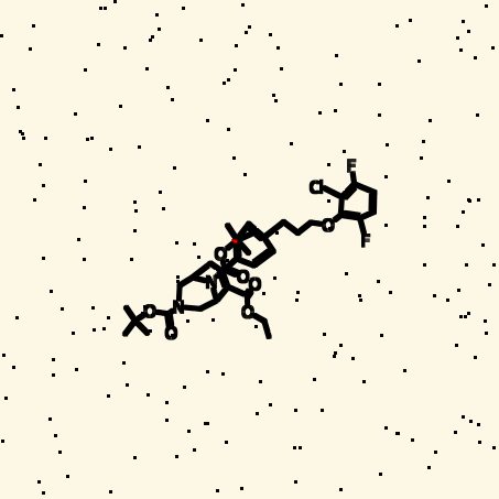 CCOC(=O)C1=C(c2ccc(CCCOc3c(F)ccc(F)c3Cl)cc2)CC2CN(C(=O)OC(C)(C)C)CC1N2C(=O)OC(C)(C)C